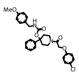 COc1ccc(CNC(=O)OC2(c3ccccc3)CCN(C(=O)COc3ccc(Cl)cc3)CC2)cc1